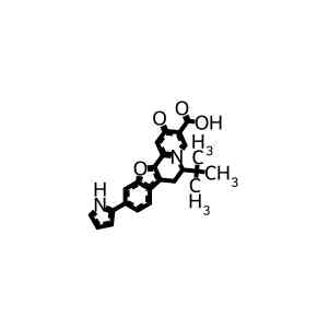 CC(C)(C)C1Cc2c(oc3cc(-c4ccc[nH]4)ccc23)-c2cc(=O)c(C(=O)O)cn21